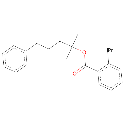 CC(C)c1ccccc1C(=O)OC(C)(C)CCCc1ccccc1